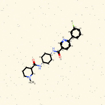 CN1CCCC(C(=O)N[C@H]2CC[C@@H](NC(=O)c3ccc(-c4cccc(F)c4)nc3)CC2)C1